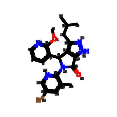 COc1ncccc1C1c2c(CC(C)C)n[nH]c2C(=O)N1c1ncc(Br)cc1C